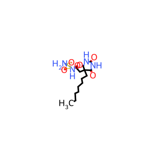 CCCCCCCCC1(CC(=O)NS(N)(=O)=O)C(=O)NC(=O)NC1=O